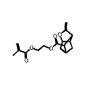 C=C(C)C(=O)OCCOC(=O)C1C2CC3OC(=C)C1C3C2